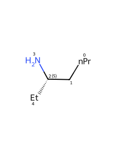 CCCC[C@@H](N)CC